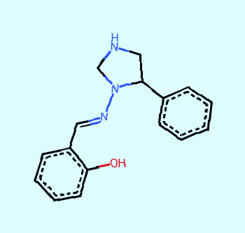 Oc1ccccc1C=NN1CNCC1c1ccccc1